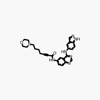 O=C(C#CCCCCN1CCOCC1)Nc1ccc2ncnc(Nc3ccc4[nH]ncc4c3)c2c1